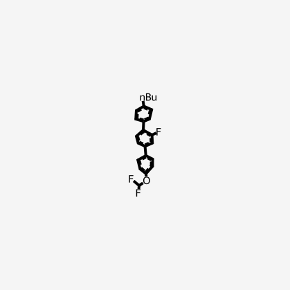 CCCCc1ccc(-c2ccc(-c3ccc(OC(F)F)cc3)cc2F)cc1